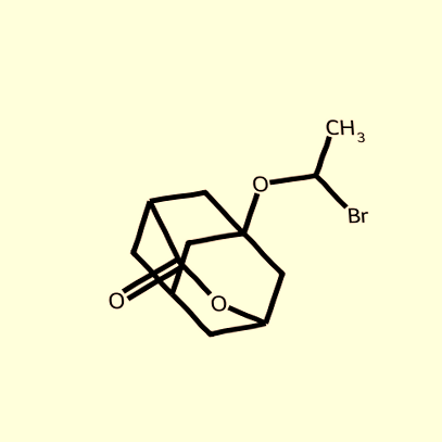 CC(Br)OC12CC3CC(C1)OC(=O)C(C3)C2